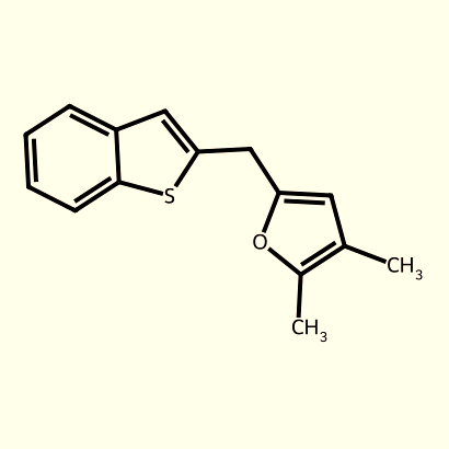 Cc1cc(Cc2cc3ccccc3s2)oc1C